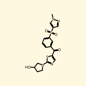 Cn1cc(S(=O)(=O)c2cccc(C(=O)c3cnc(N4CCC(O)C4)s3)c2)cn1